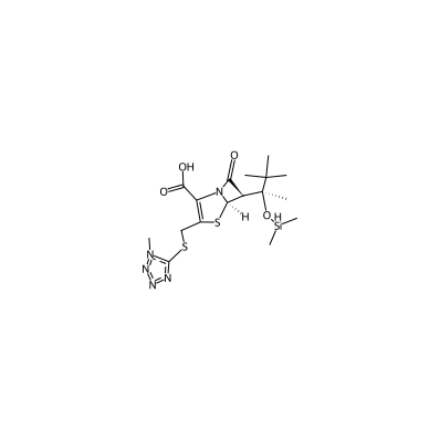 Cn1nnnc1SCC1=C(C(=O)O)N2C(=O)[C@@H]([C@](C)(O[SiH](C)C)C(C)(C)C)[C@H]2S1